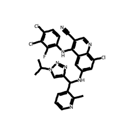 Cc1ncccc1C(Nc1cc(Cl)c2ncc(C#N)c(Nc3ccc(Cl)c(Cl)c3F)c2c1)c1cn(C(C)C)nn1